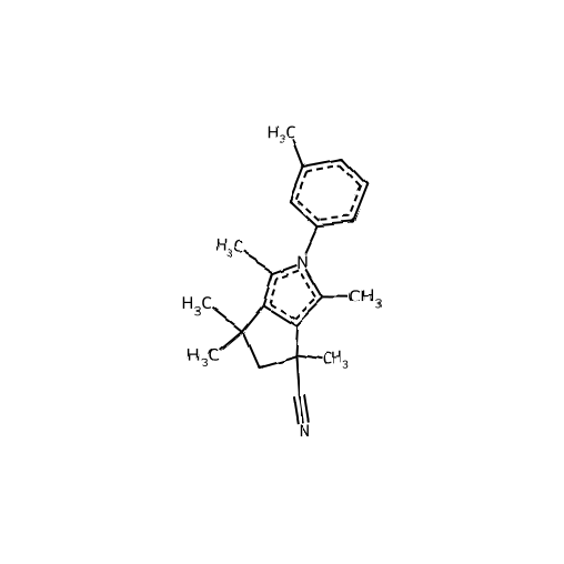 Cc1cccc(-n2c(C)c3c(c2C)C(C)(C#N)CC3(C)C)c1